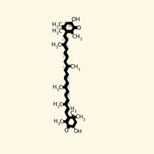 CC1=C(/C=C/C(C)=C/C=C/C/C(C)=C/C=C/C=C(C)/C=C/C=C(C)/C=C/C2=C(C)C(=O)[C@@H](O)CC2(C)C)C(C)(C)C[C@H](O)C1=O